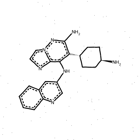 Nc1nn2ccnc2c(Nc2cnc3ccccc3c2)c1[C@H]1CC[C@H](N)CC1